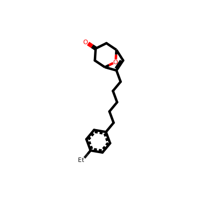 CCc1ccc(CCCCCC2=CC3CC(=O)CC2O3)cc1